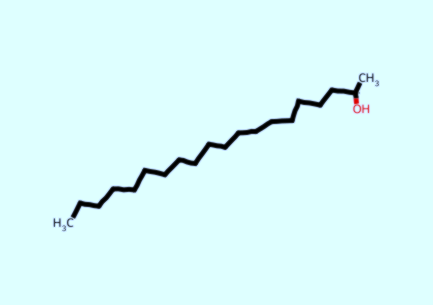 CCCCCCCCCCCCCCCCCC[C](C)O